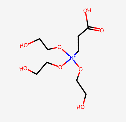 O=C(O)CC[N+](OCCO)(OCCO)OCCO